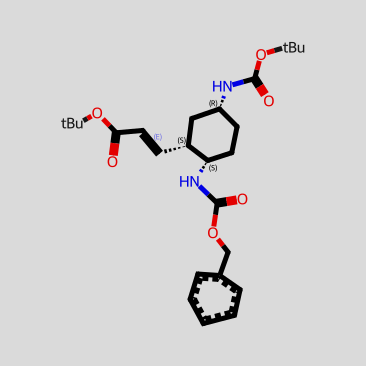 CC(C)(C)OC(=O)/C=C/[C@@H]1C[C@H](NC(=O)OC(C)(C)C)CC[C@@H]1NC(=O)OCc1ccccc1